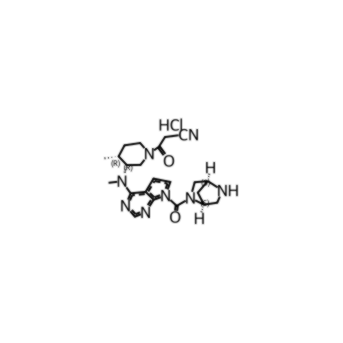 C[C@@H]1CCN(C(=O)CC#N)C[C@@H]1N(C)c1ncnc2c1ccn2C(=O)N1C[C@@H]2C[C@H]1CN2.Cl